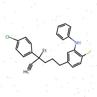 C#CC(CC)(CCCc1ccc(F)c(Nc2ccccc2)c1)c1ccc(Cl)cc1